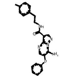 Cc1ccc(CCNC(=O)c2cnn3c(N)c(Oc4ccccc4)cnc23)cc1